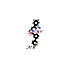 CCCOc1ccc(-c2ccc(OC)nc2)cc1C(=O)N[C@@H](CO)Cc1cn(C)c2ccccc12